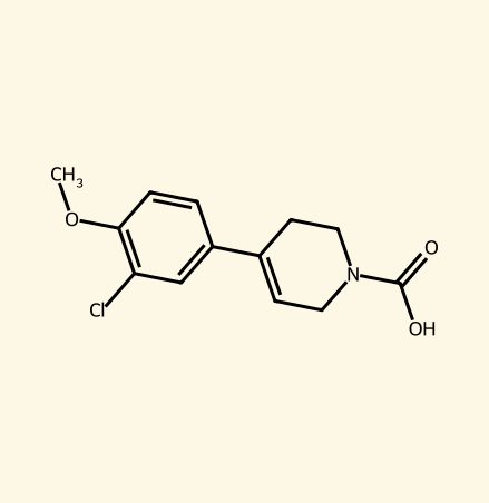 COc1ccc(C2=CCN(C(=O)O)CC2)cc1Cl